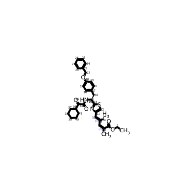 CCOC(=O)/C(C)=C\C(C)=C\c1csc([C@H](Cc2ccc(OCc3ccccc3)cc2)NC(=O)C(=O)C2CCCCC2)n1